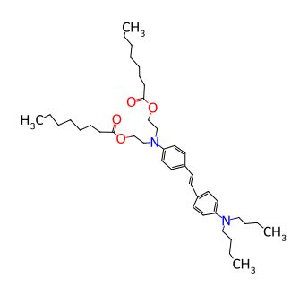 CCCCCCCC(=O)OCCN(CCOC(=O)CCCCCCC)c1ccc(/C=C/c2ccc(N(CCCC)CCCC)cc2)cc1